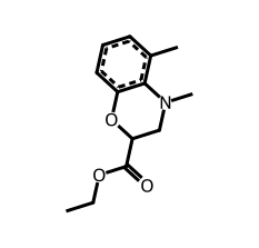 CCOC(=O)C1CN(C)c2c(C)cccc2O1